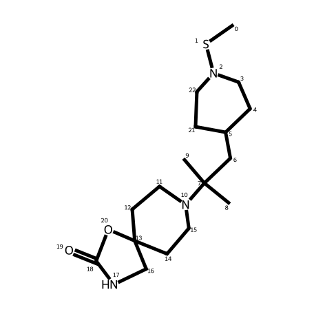 CSN1CCC(CC(C)(C)N2CCC3(CC2)CNC(=O)O3)CC1